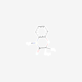 CN1C(=O)[C@@](C)(C(=O)O)Oc2ccccc21